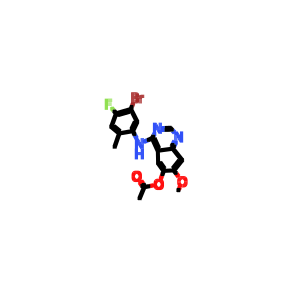 COc1cc2ncnc(Nc3cc(Br)c(F)cc3C)c2cc1OC(C)=O